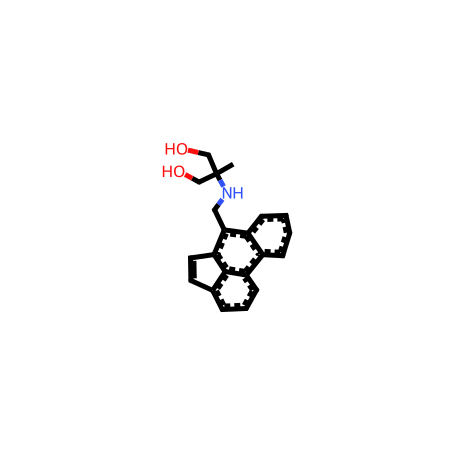 CC(CO)(CO)NCc1c2c3c(cccc3c3ccccc13)C=C2